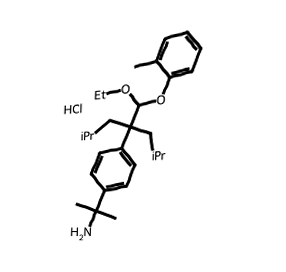 CCOC(Oc1ccccc1C)C(CC(C)C)(CC(C)C)c1ccc(C(C)(C)N)cc1.Cl